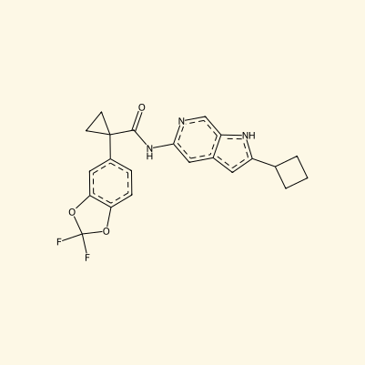 O=C(Nc1cc2cc(C3CCC3)[nH]c2cn1)C1(c2ccc3c(c2)OC(F)(F)O3)CC1